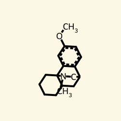 COc1ccc2c(c1)C13CCCCC1CC2CN3C